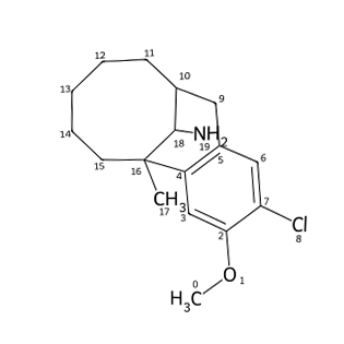 COc1cc2c(cc1Cl)CC1CCCCCC2(C)C1N